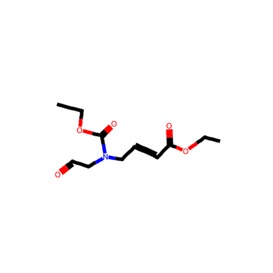 CCOC(=O)/C=C/CN(CC=O)C(=O)OCC